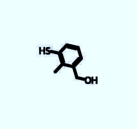 Cc1c(S)cccc1CO